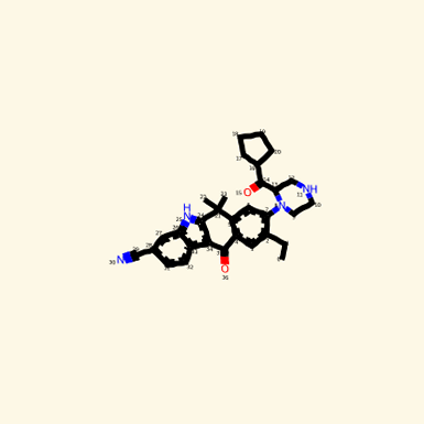 CCc1cc2c(cc1N1CCNCC1C(=O)C1CCCC1)C(C)(C)c1[nH]c3cc(C#N)ccc3c1C2=O